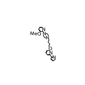 COc1cccnc1N1CCN(CCCCOc2cccc(C3=NCC=C3)n2)CC1